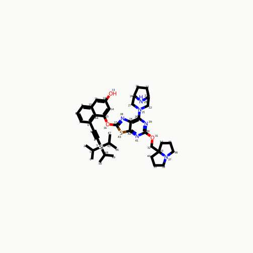 CC(C)[Si](C#Cc1cccc2cc(O)cc(Oc3nc4c(N5CC6CCC(C5)N6)nc(OCC56CCCN5CCC6)nc4s3)c12)(C(C)C)C(C)C